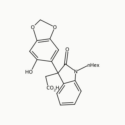 CCCCCCN1C(=O)C(CC(=O)O)(c2cc3c(cc2O)OCO3)c2ccccc21